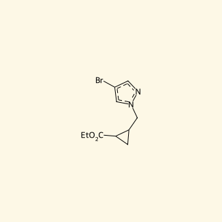 CCOC(=O)C1CC1Cn1cc(Br)cn1